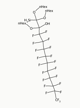 CCCCCCOC([SiH3])(OCCCCCC)C(O)(OCCCCCC)C(F)(F)C(F)(F)C(F)(F)C(F)(F)C(F)(F)C(F)(F)C(F)(F)C(F)(F)C(F)(F)C(F)(F)F